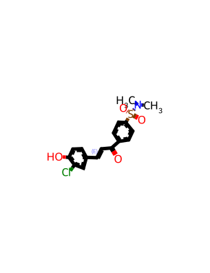 CN(C)S(=O)(=O)c1ccc(C(=O)/C=C/c2ccc(O)c(Cl)c2)cc1